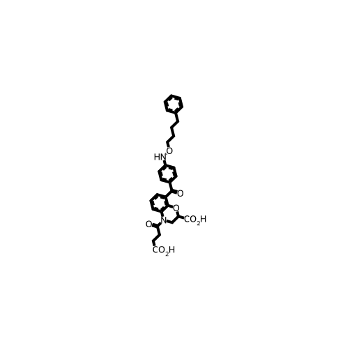 O=C(O)CCC(=O)N1CC(C(=O)O)Oc2c(C(=O)c3ccc(NOCCCCc4ccccc4)cc3)cccc21